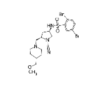 COCC1CCN(C[C@H]2C[C@@H](NS(=O)(=O)c3cc(Br)ccc3Br)CN2C#N)CC1